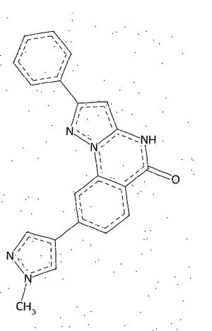 Cn1cc(-c2ccc3c(=O)[nH]c4cc(-c5ccccc5)nn4c3c2)cn1